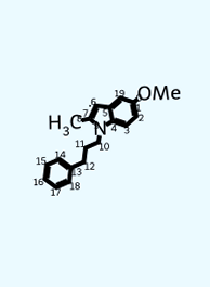 COc1ccc2c([c]c(C)n2CCCc2ccccc2)c1